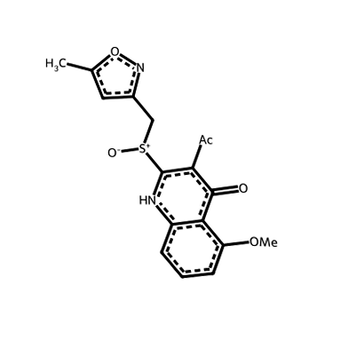 COc1cccc2[nH]c([S+]([O-])Cc3cc(C)on3)c(C(C)=O)c(=O)c12